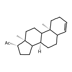 CC(=O)[C@H]1CCC2[C@@H]3CCC4C=CCC[C@]4(C)C3CC[C@@]21C